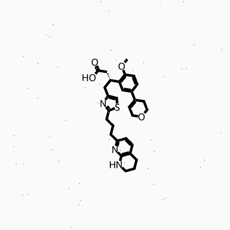 COc1ccc(C2=CCOCC2)cc1[C@@H](CC(=O)O)Cc1csc(CCCc2ccc3c(n2)NCCC3)n1